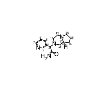 NC(=O)C(c1cccnc1)N1CCN2CCC[C@@H]2C1